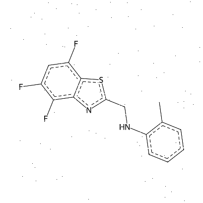 Cc1ccccc1NCc1nc2c(F)c(F)cc(F)c2s1